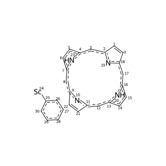 C1=Cc2cc3ccc(cc4nc(cc5ccc(cc1n2)[nH]5)C=C4)[nH]3.[Sc][c]1ccccc1